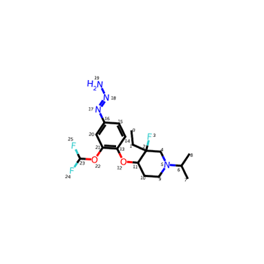 CCC1(F)CN(C(C)C)CCC1Oc1ccc(N=NN)cc1OC(F)F